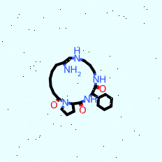 N/C1=C\NCCCNC(=O)C(C2CCCCC2)NC(=O)C2CCCN2C(=O)CCCCC1